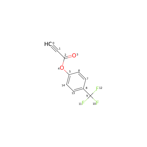 C#CC(=O)Oc1ccc(C(F)(F)F)cc1